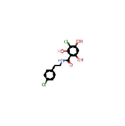 O=C(NCCc1ccc(Cl)cc1)c1c(O)cc(O)c(Cl)c1O